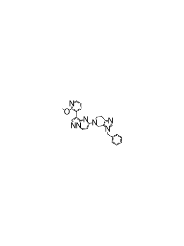 COc1ncccc1-c1cnn2ccc(N3CCc4ncn(Cc5ccccc5)c4C3)nc12